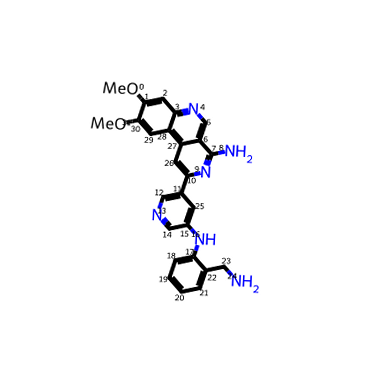 COc1cc2ncc3c(N)nc(-c4cncc(Nc5ccccc5CN)c4)cc3c2cc1OC